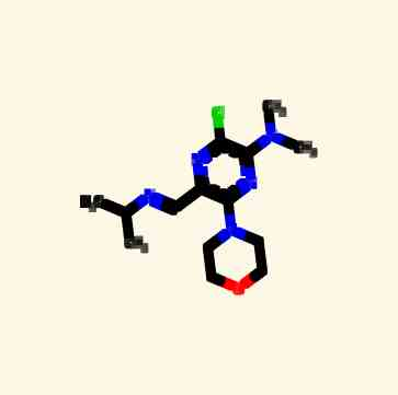 CC(C)N=Cc1nc(Cl)c(N(C)C)nc1N1CCOCC1